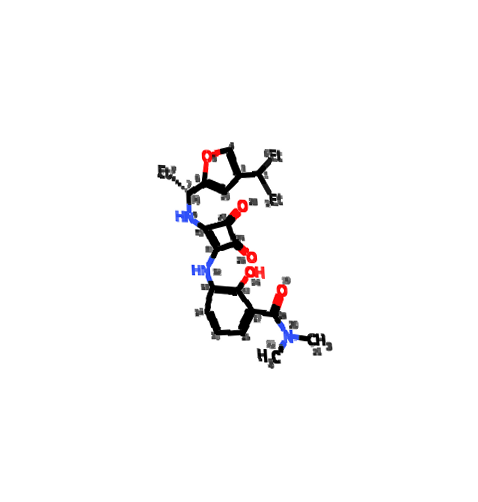 CCC(CC)c1coc([C@@H](CC)Nc2c(Nc3cccc(C(=O)N(C)C)c3O)c(=O)c2=O)c1